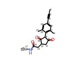 CC#Cc1cc(C)c(C2C(=O)CC(CC(=O)NC(C)(C)C)C2=O)c(C)c1